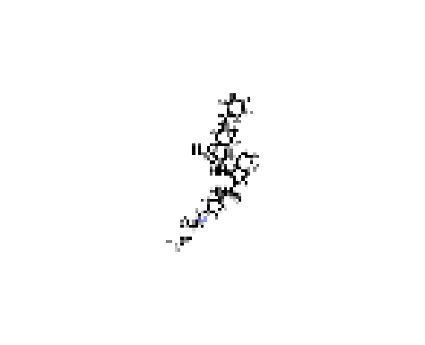 CCC(=O)/N=C/C1CC[C@@H](NC(=O)c2sc3nccc4c3c2NC(=O)N4c2cnc(Oc3ccccc3)cc2C)C1